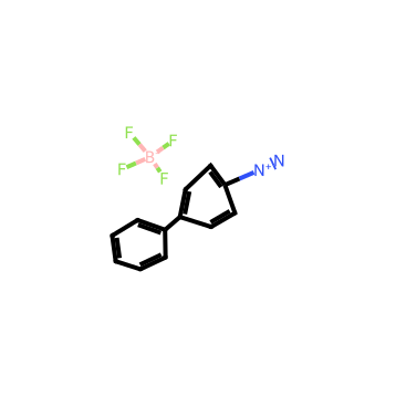 F[B-](F)(F)F.N#[N+]c1ccc(-c2ccccc2)cc1